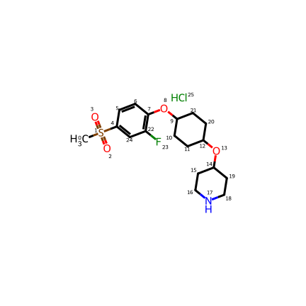 CS(=O)(=O)c1ccc(OC2CCC(OC3CCNCC3)CC2)c(F)c1.Cl